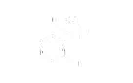 C=C.C=CC.CCCCc1ccccc1